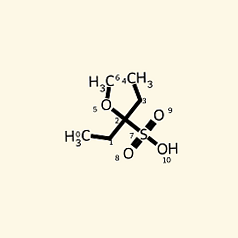 CCC(CC)(OC)S(=O)(=O)O